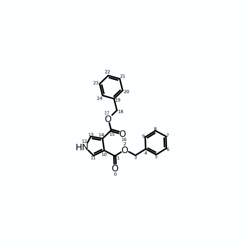 O=C(OCc1ccccc1)c1c[nH]cc1C(=O)OCc1ccccc1